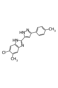 Cc1ccc(-c2cc(-c3nc4cc(C)c(Cl)cc4[nH]3)[nH]n2)cc1